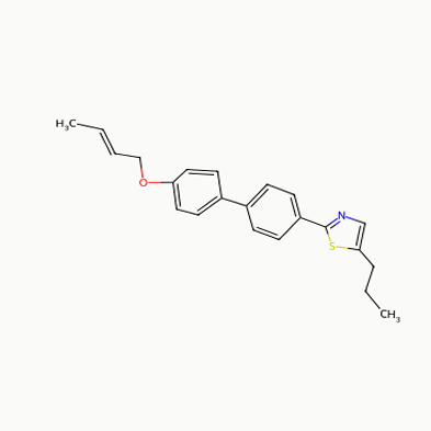 C/C=C/COc1ccc(-c2ccc(-c3ncc(CCC)s3)cc2)cc1